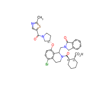 Cc1ncc(C(=O)N2CC[C@H](Oc3ccc(Br)c4c3C(CN3Cc5ccccc5C3=O)N(C(=O)[C@@H]3CCCC[C@@H]3C(=O)O)CC4)C2)s1